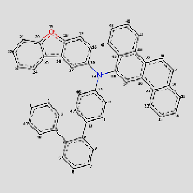 c1ccc(-c2ccccc2-c2ccc(N(c3ccc4oc5ccccc5c4c3)c3cc4c5ccccc5ccc4c4ccccc34)cc2)cc1